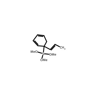 CC=CC1([Si](OC)(OC)OC)C=CC=CC1